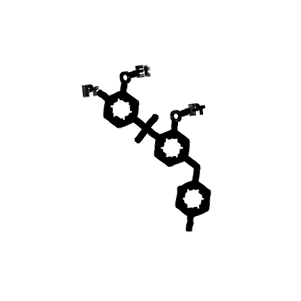 CCOc1cc(C(C)(C)c2ccc(Cc3ccc(C)cc3)cc2OC(C)C)ccc1C(C)C